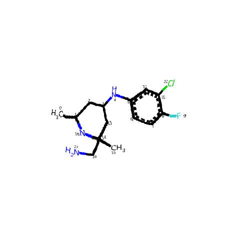 CC1CC(Nc2ccc(F)c(Cl)c2)CC(C)(CN)[N]1